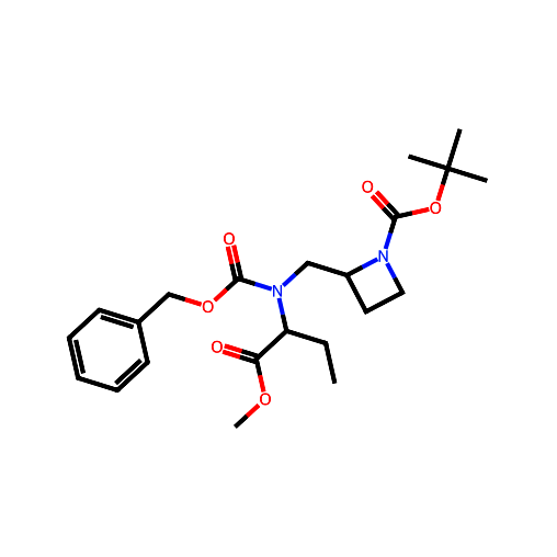 CCC(C(=O)OC)N(CC1CCN1C(=O)OC(C)(C)C)C(=O)OCc1ccccc1